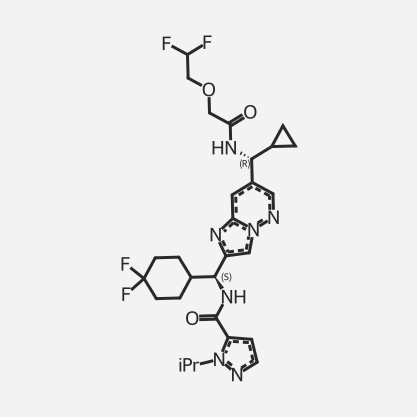 CC(C)n1nccc1C(=O)N[C@H](c1cn2ncc([C@H](NC(=O)COCC(F)F)C3CC3)cc2n1)C1CCC(F)(F)CC1